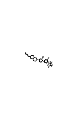 CCCCC1CCC2CC(c3ccc(-c4ccc(OC(F)(F)C(F)F)c(F)c4)c(F)c3)CCC2C1